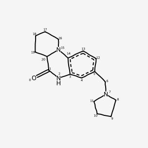 O=C1Nc2cc(CN3CCCC3)ccc2N2CCCCC12